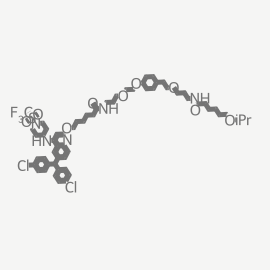 CC(C)OCCCCCC(=O)NCCCOCCC1CCC(OCCOCCCNC(=O)CCCCCOc2cc(NC3CCN(S(=O)(=O)C(F)(F)F)CC3)c3cc(C(c4ccc(Cl)cc4)c4ccc(Cl)cc4)ccc3n2)CC1